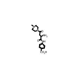 CN1CCN(C(=O)CC(N)C(=O)Nc2ccc(C(=O)O)cc2)CC1